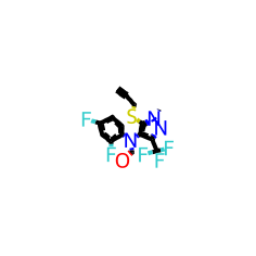 C#CCSc1c(N(C=O)c2ccc(F)cc2F)c(C(F)(F)F)nn1C